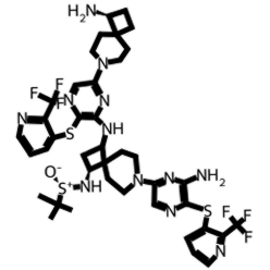 CC(C)(C)[S@@+]([O-])N[C@H]1CC(Nc2nc(N3CCC4(CC[C@@H]4N)CC3)cnc2Sc2cccnc2C(F)(F)F)C12CCN(c1cnc(Sc3cccnc3C(F)(F)F)c(N)n1)CC2